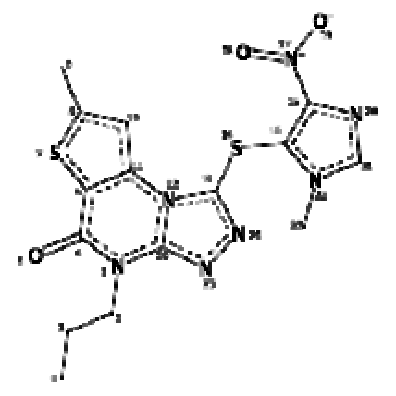 CCCn1c(=O)c2sc(C)cc2n2c(Sc3c([N+](=O)[O-])ncn3C)nnc12